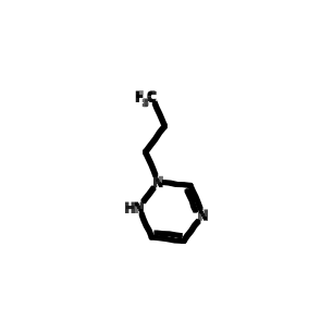 FC(F)(F)CCN1C=NC=CN1